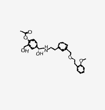 COc1ccccc1CCOCc1cccc(CCNC[C@H](O)c2ccc(OC(C)=O)c(CO)c2)c1